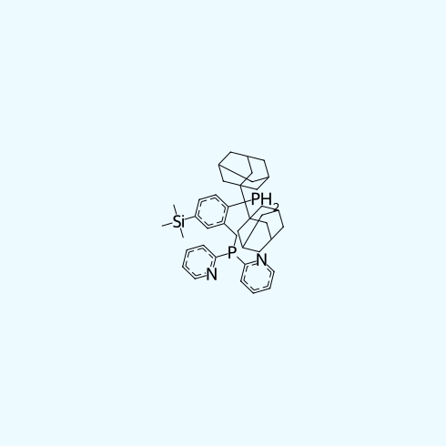 C[Si](C)(C)c1ccc(C(P)(C23CC4CC(CC(C4)C2)C3)C23CC4CC(CC(C4)C2)C3)c(CP(c2ccccn2)c2ccccn2)c1